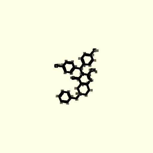 Cc1nc2c(c(=O)n1C(c1ccc(Cl)cc1)c1ccc(Cl)cc1)CN(Cc1ccccc1)CC2